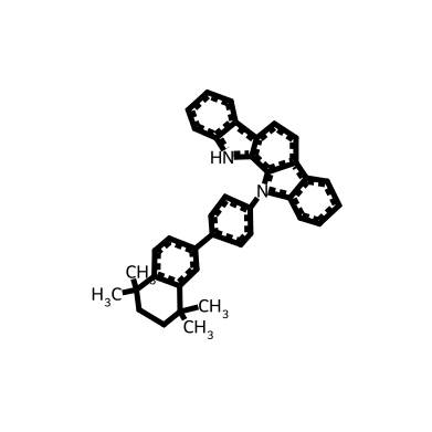 CC1(C)CCC(C)(C)c2cc(-c3ccc(-n4c5ccccc5c5ccc6c7ccccc7[nH]c6c54)cc3)ccc21